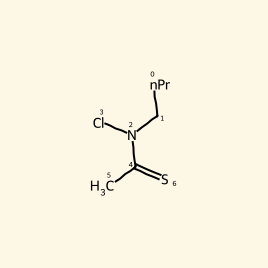 CCCCN(Cl)C(C)=S